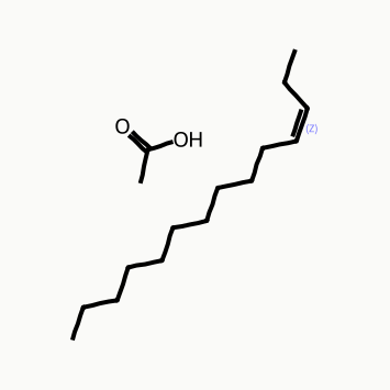 CC(=O)O.CC/C=C\CCCCCCCCCC